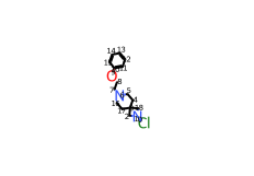 ClN1CC2(CCN(CCOc3ccccc3)CC2)C1